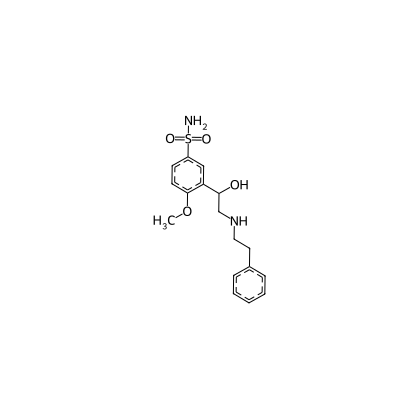 COc1ccc(S(N)(=O)=O)cc1C(O)CNCCc1ccccc1